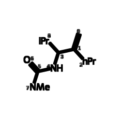 C=C(CCC)C(NC(=O)NC)C(C)C